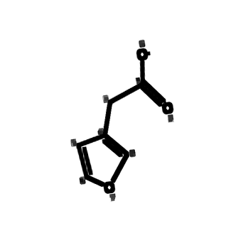 [O]C(=O)Cc1ccoc1